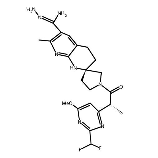 COc1cc([C@@H](C)C(=O)N2CC[C@@]3(CCc4cc(/C(N)=N/N)c(C)nc4N3)C2)nc(C(F)F)n1